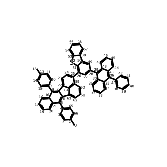 Cc1ccc(-c2c3c(c(-c4ccc(C)cc4)c4ccccc24)-c2ccc(-c4cc(-c5c6ccccc6c(-c6ccccc6)c6ccccc56)cc5c4sc4ccccc45)c4cccc-3c24)cc1